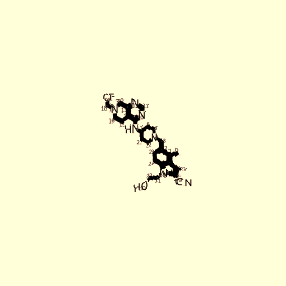 Cc1c(CN2CCC(Nc3ncnc4c3CCN(CC(F)(F)F)C4)CC2)ccc2c1cc(C#N)n2CCO